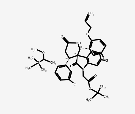 C=CCOc1ccc(I)cc1[C@H]1NC(=O)C[C@@H](c2cccc(Cl)c2)[C@]12C(=O)N(CC(=O)OC(C)(C)C)c1cc(Cl)ccc12.COC(C)[Si](C)(C)C